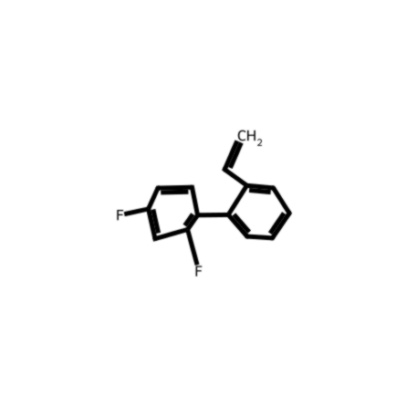 C=Cc1ccccc1-c1ccc(F)cc1F